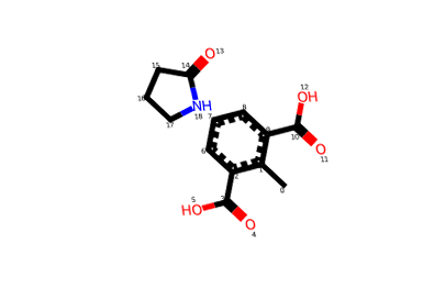 Cc1c(C(=O)O)cccc1C(=O)O.O=C1CCCN1